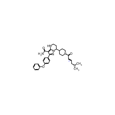 CN(C)C/C=C/C(=O)N1CCC(C2CCNc3c(C(N)=O)c(-c4ccc(Oc5ccccc5)cc4)nn32)CC1